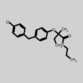 CCCOC(=O)C(C)(CC)Oc1ccc(Cc2ccc(Cl)cc2)cc1